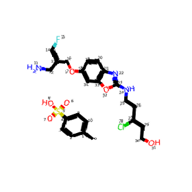 Cc1ccc(S(=O)(=O)O)cc1.NC/C(=C/F)COc1ccc2nc(NCCC(Cl)CCO)oc2c1